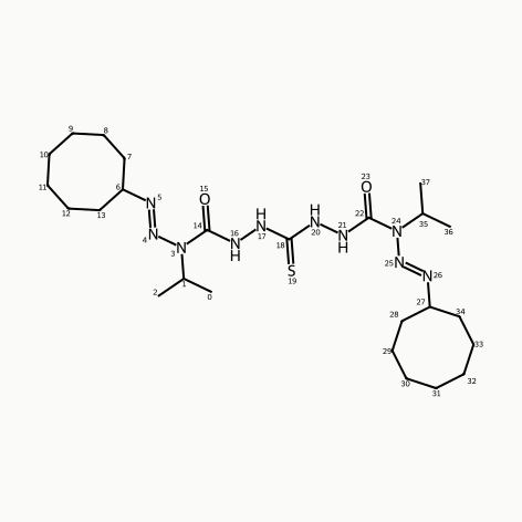 CC(C)N(N=NC1CCCCCCC1)C(=O)NNC(=S)NNC(=O)N(N=NC1CCCCCCC1)C(C)C